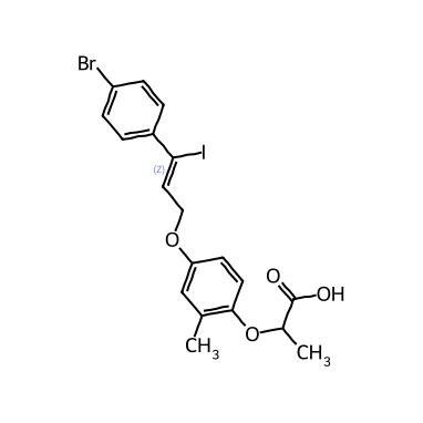 Cc1cc(OC/C=C(\I)c2ccc(Br)cc2)ccc1OC(C)C(=O)O